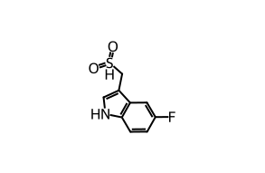 O=[SH](=O)Cc1c[nH]c2ccc(F)cc12